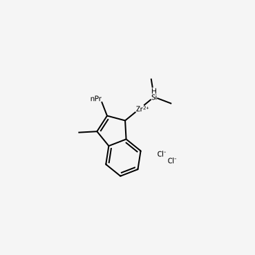 CCCC1=C(C)c2ccccc2[CH]1[Zr+2][SiH](C)C.[Cl-].[Cl-]